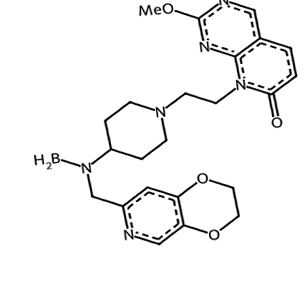 BN(Cc1cc2c(cn1)OCCO2)C1CCN(CCn2c(=O)ccc3cnc(OC)nc32)CC1